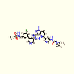 CN(C)CC(=O)Nc1cncc(-c2ccc3[nH]nc(-c4nc5c(-c6cc(F)cc(CNS(C)(=O)=O)c6)cncc5[nH]4)c3n2)c1